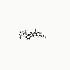 O=C1CCC[C@H](Nc2cccc3nc(Nc4ccc(C(F)(F)F)cc4)nn23)C1